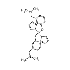 CN(C)Cc1cccc([O][Zr]([O]c2cccc(CN(C)C)c2)([CH]2C=CC=C2)[CH]2C=CC=C2)c1